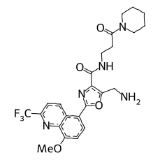 COc1ccc(-c2nc(C(=O)NCCC(=O)N3CCCCC3)c(CN)o2)c2ccc(C(F)(F)F)nc12